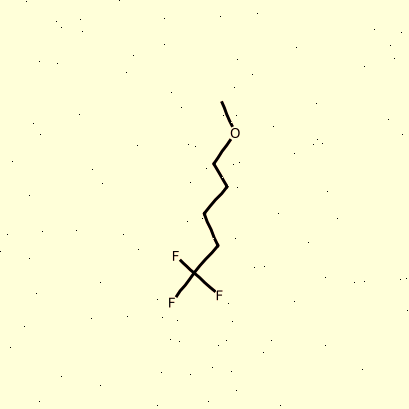 COCCCCC(F)(F)F